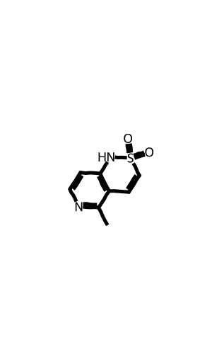 Cc1nccc2c1C=CS(=O)(=O)N2